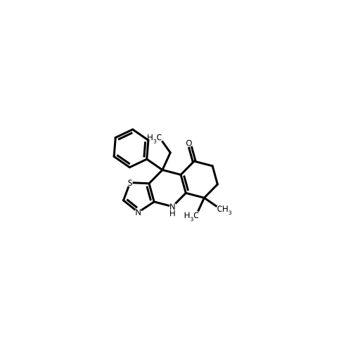 CCC1(c2ccccc2)C2=C(Nc3ncsc31)C(C)(C)CCC2=O